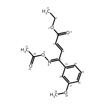 CCOC(=O)C=CC(=NOC(C)=O)c1cccc(OC)c1